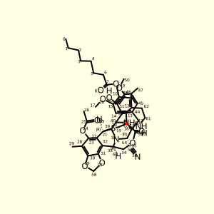 CCCCCCCC(=O)Oc1cc2c(cc1OC)[C@@]1(CS[C@@H]3c4c(OC(C)=O)c(C)c5c(c4[C@H](COC1=O)N1C3C3N[C@@H](Cc4cc(C)c(OC)c(O)c43)[C@@H]1C#N)OCO5)NCC2